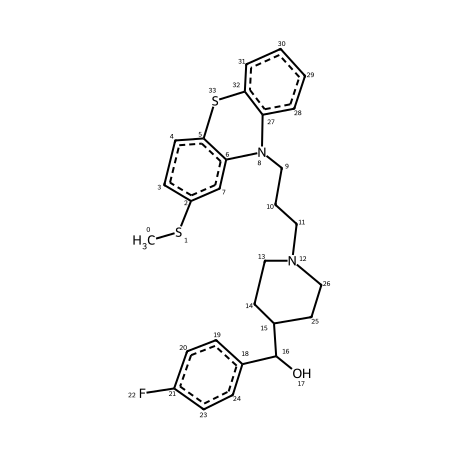 CSc1ccc2c(c1)N(CCCN1CCC(C(O)c3ccc(F)cc3)CC1)c1ccccc1S2